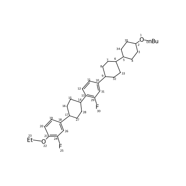 CCCCOC1CCC(C2CCC(c3ccc(C4CCC(c5ccc(OCC)c(F)c5)CC4)c(F)c3)CC2)CC1